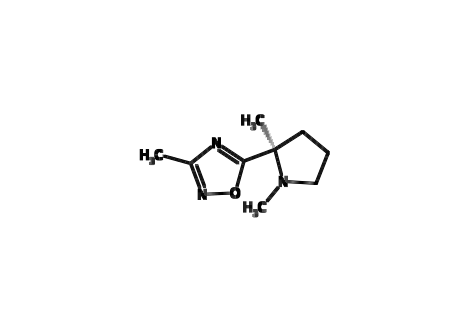 Cc1noc([C@@]2(C)CCCN2C)n1